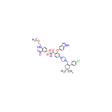 COCCNc1ccc(S(=O)(=O)NC(=O)c2ccc(N3CCN(CC4=C(c5ccc(Cl)cc5)CC(C)(C)CC4)CC3)cc2Oc2ccc3[nH]ccc3c2)cc1[N+](=O)[O-]